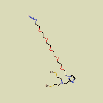 CCSCCN(CCSCC)Cc1nccn1CCOCCOCCOCCOCCOCCN=[N+]=[N-]